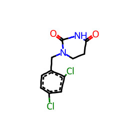 O=C1CCN(Cc2ccc(Cl)cc2Cl)C(=O)N1